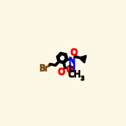 COC(=O)c1c(CCBr)cccc1NC(=O)C1CC1